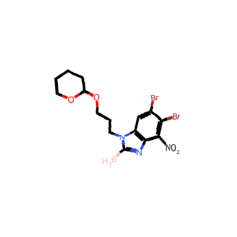 Bc1nc2c([N+](=O)[O-])c(Br)c(Br)cc2n1CCCOC1CCCCO1